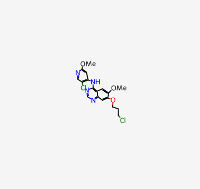 COc1cc(Nc2ncnc3cc(OCCCCl)c(OC)cc23)c(Cl)cn1